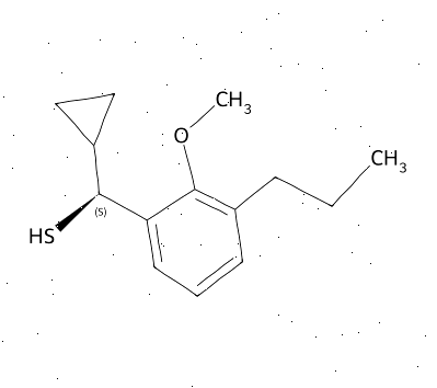 CCCc1cccc([C@@H](S)C2CC2)c1OC